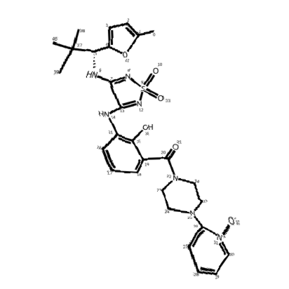 Cc1ccc([C@H](NC2=NS(=O)(=O)N=C2Nc2cccc(C(=O)N3CCN(c4cccc[n+]4[O-])CC3)c2O)C(C)(C)C)o1